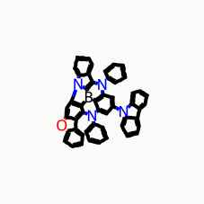 c1ccc(N2c3cc(-n4c5ccccc5c5ccccc54)cc4c3B3c5c(cc6oc7ccccc7c6c5N4c4ccccc4)-n4c3c2c2ccccc24)cc1